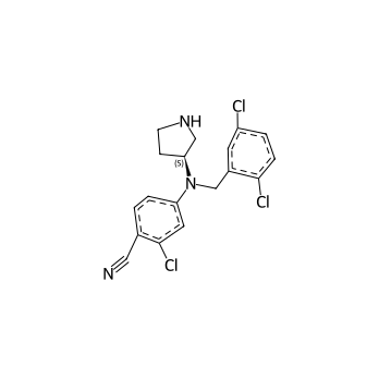 N#Cc1ccc(N(Cc2cc(Cl)ccc2Cl)[C@H]2CCNC2)cc1Cl